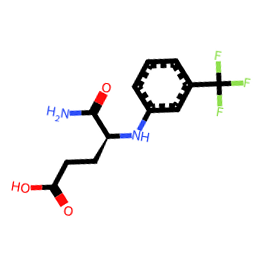 NC(=O)[C@H](CCC(=O)O)Nc1cccc(C(F)(F)F)c1